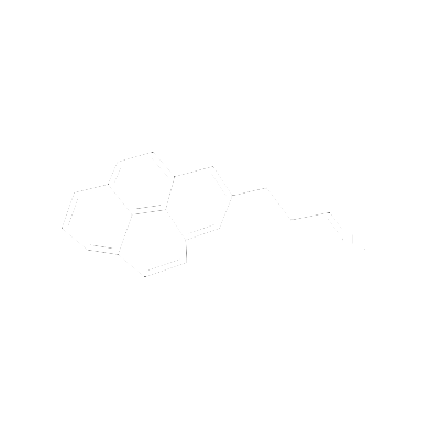 C=CCCc1cc2ccc3cccc4ccc(c1)c2c34